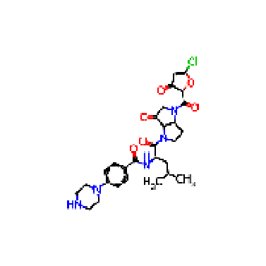 CC(C)CC(NC(=O)c1ccc(N2CCNCC2)cc1)C(=O)N1CCC2C1C(=O)CN2C(=O)C1OC(Cl)=CC1=O